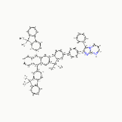 CC1(C)c2ccccc2-c2ccc(-c3c4ccccc4c(-c4ccc5c(c4)C(C)(C)c4ccccc4-5)c4cc5c(cc34)-c3ccc(-c4ccc(-c6nc7ncccn7c6-c6ccccc6)cc4)cc3C5(C)C)cc21